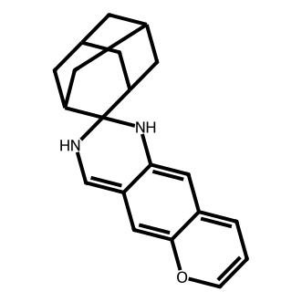 C1=COc2cc3c(cc2=C1)NC1(NC=3)C2CC3CC(C2)CC1C3